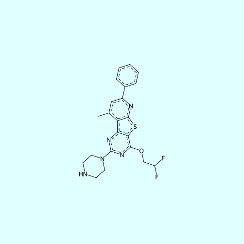 Cc1cc(-c2ccccc2)nc2sc3c(OCC(F)F)nc(N4CCNCC4)nc3c12